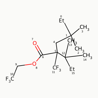 CCC(C)(C)CC(C(=O)OCC(F)(F)F)(C(F)(F)F)C(C)(C)CC